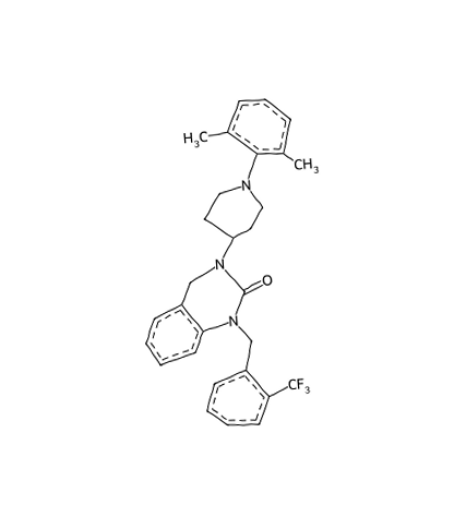 Cc1cccc(C)c1N1CCC(N2Cc3ccccc3N(Cc3ccccc3C(F)(F)F)C2=O)CC1